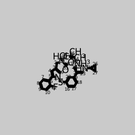 CN(Cc1cc(-c2ccccc2F)n(Sc2cccc(/C(C=N)=C/NC3CC3)c2)c1)C(=O)OC(C)(C)C